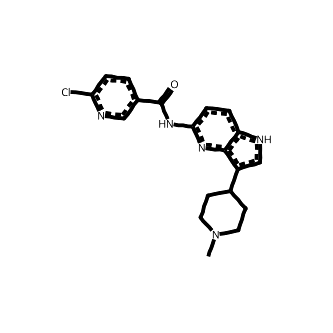 CN1CCC(c2c[nH]c3ccc(NC(=O)c4ccc(Cl)nc4)nc23)CC1